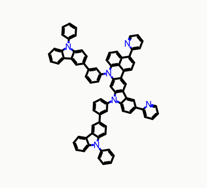 c1ccc(-n2c3ccccc3c3cc(-c4cccc(N5c6cc7c(cc6-c6ccc(-c8ccccn8)c8cccc5c68)c5cc(-c6ccccn6)ccc5n7-c5cccc(-c6ccc7c(c6)c6ccccc6n7-c6ccccc6)c5)c4)ccc32)cc1